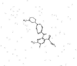 Cc1nc(Nc2ccc(C3CCCN(C)C3)cc2)c(C(N)=O)cc1F